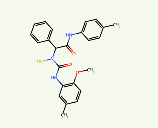 COc1ccc(C)cc1NC(=O)N(S)C(C(=O)Nc1ccc(C)cc1)c1ccccc1